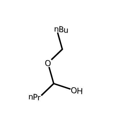 CCCCCOC(O)CCC